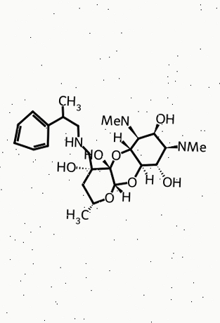 CN[C@@H]1[C@H](O)[C@H](NC)[C@H]2O[C@]3(O)[C@H](O[C@@H]2[C@H]1O)O[C@H](C)C[C@@]3(O)CNCC(C)c1ccccc1